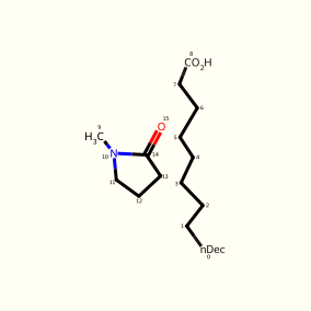 CCCCCCCCCCCCCCCCCC(=O)O.CN1CCCC1=O